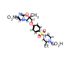 CCC1CN(S(=O)(=O)c2ccc(OC[C@@]3(C)Cn4cc([N+](=O)[O-])nc4O3)cc2)CCN1C(=O)O